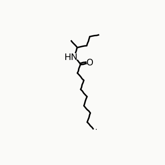 [CH2]CCCCCCCC(=O)NC(C)CCC